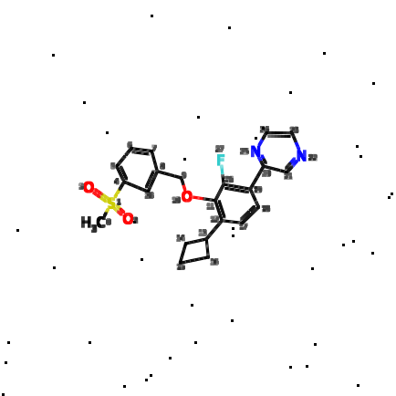 CS(=O)(=O)c1cccc(COc2c(C3CCC3)ccc(-c3cnccn3)c2F)c1